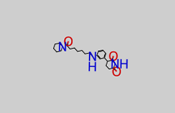 O=C1CCC(c2cccc(NCCCCCCC(=O)N3CCCCC3)c2)C(=O)N1